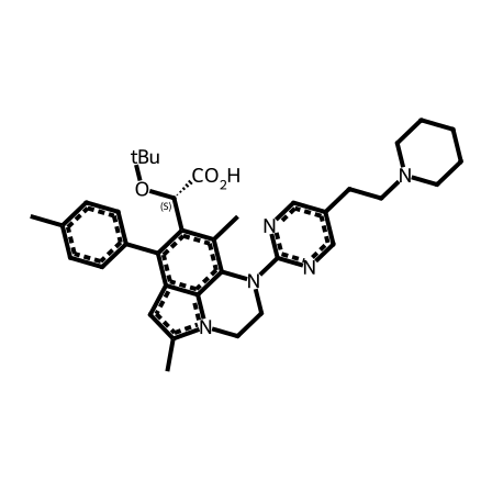 Cc1ccc(-c2c([C@H](OC(C)(C)C)C(=O)O)c(C)c3c4c2cc(C)n4CCN3c2ncc(CCN3CCCCC3)cn2)cc1